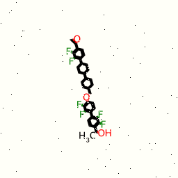 CC(O)c1ccc(-c2ccc(OCC3CCC(C4CCC(c5ccc(C6CO6)c(F)c5F)CC4)CC3)c(F)c2F)c(F)c1F